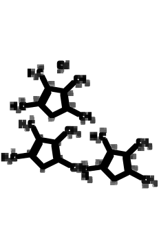 CC1=C(C)C(C)=C(C)C1.CC1=C(C)C(C)=C(C)C1.CC1=C(C)C(C)=C(C)C1.[Gd]